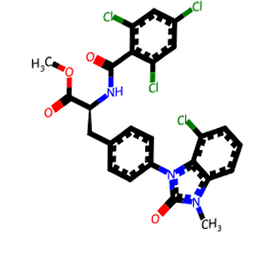 COC(=O)[C@H](Cc1ccc(-n2c(=O)n(C)c3cccc(Cl)c32)cc1)NC(=O)c1c(Cl)cc(Cl)cc1Cl